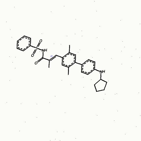 C/C(=C\c1cc(C)c(-c2ccc(NC3CCCC3)cc2)cc1C)C(=O)NS(=O)(=O)c1ccccc1